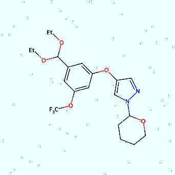 CCOC(OCC)c1cc(Oc2cnn(C3CCCCO3)c2)cc(OC(F)(F)F)c1